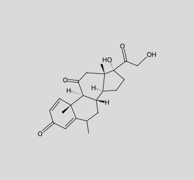 CC1C[C@@H]2[C@H](C(=O)C[C@@]3(C)[C@H]2CC[C@]3(O)C(=O)CO)[C@@]2(C)C=CC(=O)C=C12